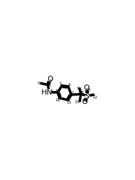 CC(=O)Nc1ccc(C(C)(C)S(C)(=O)=O)cc1